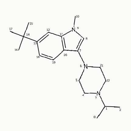 CC(C)N1CCN(c2cn(C)c3cc(C(C)(C)C)ccc23)CC1